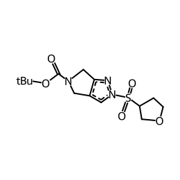 CC(C)(C)OC(=O)N1Cc2cn(S(=O)(=O)C3CCOC3)nc2C1